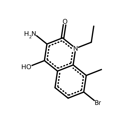 CCn1c(=O)c(N)c(O)c2ccc(Br)c(C)c21